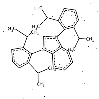 CC(C)c1cccc(C(C)C)c1-n1c[n+](-c2c(C(C)C)cccc2C(C)C)c2ccccc21